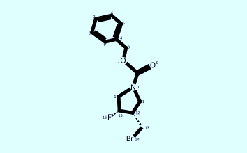 O=C(OCc1ccccc1)N1C[C@H](CBr)[C@H](F)C1